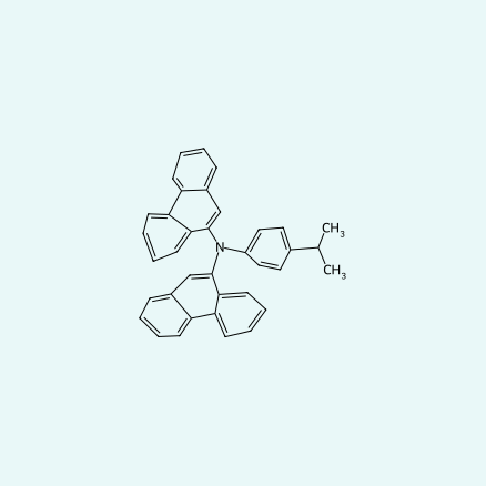 CC(C)c1ccc(N(c2cc3ccccc3c3ccccc23)c2cc3ccccc3c3ccccc23)cc1